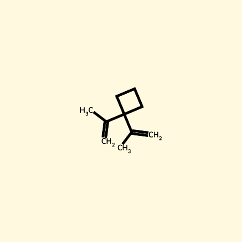 C=C(C)C1(C(=C)C)CCC1